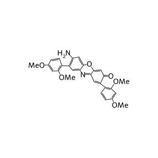 COc1ccc(-c2cc3nc4cc(-c5ccc(OC)cc5OC)c(=O)cc-4oc3cc2N)c(OC)c1